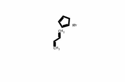 C1=CCC=C1.C=CC=C.[Rh]